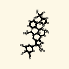 CCC1Cc2c(nn(C)c2-c2cc(F)c(F)c(F)c2)C(CC)N1C(=O)c1ccccc1-n1ncnc1C(F)(F)F